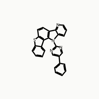 c1ccc(-c2cnc(-n3c4cccnc4c4ccc5sc6ccccc6c5c43)nc2)cc1